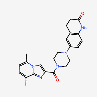 Cc1ccc(C)n2cc(C(=O)N3CCN(c4ccc5c(c4)CCC(=O)N5)CC3)nc12